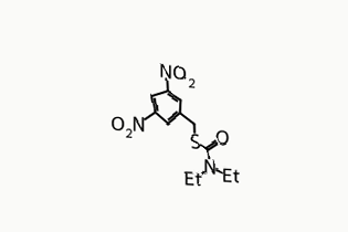 CCN(CC)C(=O)SCc1cc([N+](=O)[O-])cc([N+](=O)[O-])c1